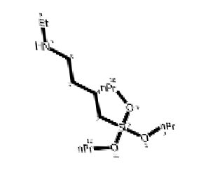 CCCO[Si](CCCCNCC)(OCCC)OCCC